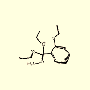 CCOc1ccccc1C(O[SiH3])(OCC)OCC